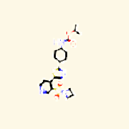 CC(C)OC(=O)N[C@H]1CC[C@H](c2ncc(-c3ccncc3S(=O)(=O)N3CCC3)s2)CC1